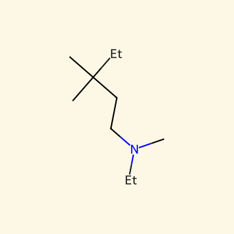 CCN(C)CCC(C)(C)CC